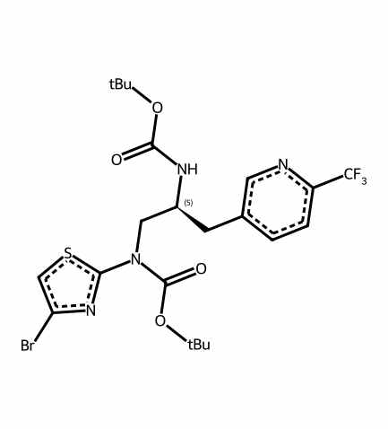 CC(C)(C)OC(=O)N[C@@H](Cc1ccc(C(F)(F)F)nc1)CN(C(=O)OC(C)(C)C)c1nc(Br)cs1